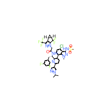 CC(C)n1cc(-c2ccc(-c3ccc(Cl)c4c(NS(C)(=O)=O)nn(C)c34)c([C@H](Cc3cc(F)cc(F)c3)NC(=O)Cn3nc(C(F)(F)F)c4c3C(F)(F)[C@@H]3C[C@H]43)n2)cn1